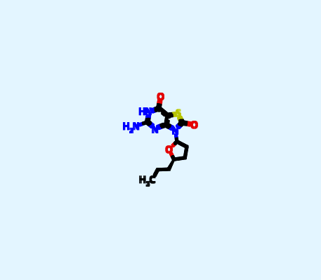 CCC[C@@H]1CCC(n2c(=O)sc3c(=O)[nH]c(N)nc32)O1